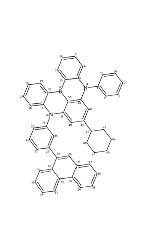 c1ccc(N2c3ccccc3B3c4ccccc4N(c4cccc(-c5cc6ccccc6c6ccccc56)c4)c4cc(C5CCCCC5)cc2c43)cc1